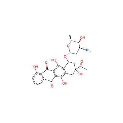 CC(=O)C1(O)Cc2c(O)c3c(c(O)c2C(O[C@H]2C[C@H](N)[C@H](O)[C@H](C)O2)C1)C(=O)c1c(O)cccc1C3=O